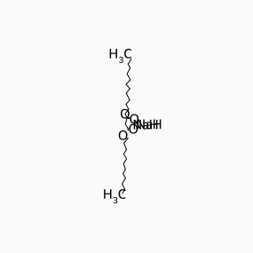 CCCCCCCCCCCCOC(=O)CC(=O)OCCCCCCCCCCCC.[NaH].[NaH]